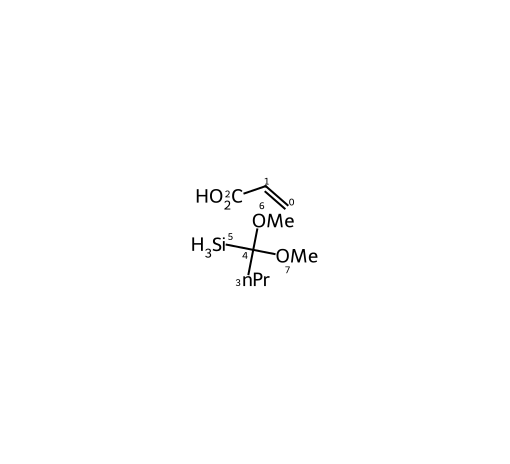 C=CC(=O)O.CCCC([SiH3])(OC)OC